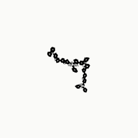 c1ccc(C2=NC(c3ccc4c(c3)oc3cc(-c5ccc6sc7c(-n8c9ccccc9c9cc(-c%10cccc(C%11=NC(c%12ccc%13c(c%12)oc%12cc(-c%14ccc%15sc%16cc(-n%17c%18ccccc%18c%18ccccc%18%17)ccc%16c%15c%14)ccc%12%13)NC(c%12ccccc%12)N%11)c%10)ccc98)cccc7c6c5)ccc34)NC(c3ccccc3)=N2)cc1